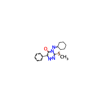 CSc1nnc(-c2ccccc2)c(=O)n1N=C1CCCCC1